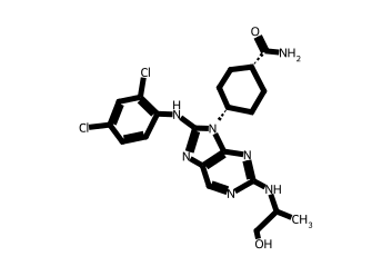 CC(CO)Nc1ncc2nc(Nc3ccc(Cl)cc3Cl)n([C@H]3CC[C@@H](C(N)=O)CC3)c2n1